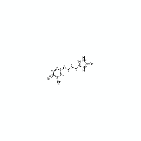 O=c1[nH]nc(CSCOc2ccc(Br)c(Br)c2)[nH]1